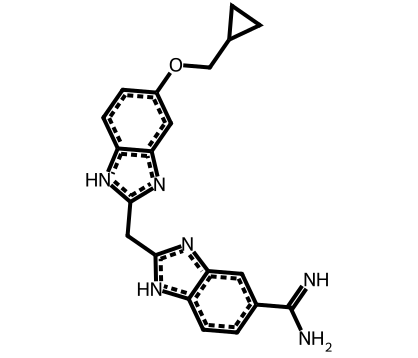 N=C(N)c1ccc2[nH]c(Cc3nc4cc(OCC5CC5)ccc4[nH]3)nc2c1